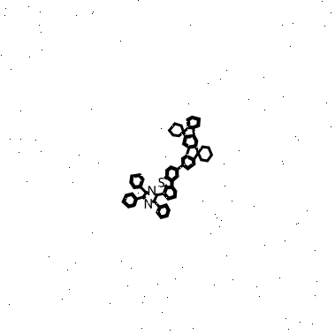 c1ccc(C2=NC(c3ccccc3)C(c3cccc4c3sc3ccc(-c5ccc6c(c5)-c5cc7c(cc5C65CCCCC5)-c5ccccc5C75CCCCC5)cc34)N=C2c2ccccc2)cc1